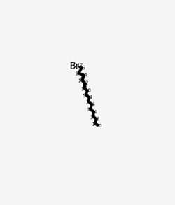 CCCCCCCCCCCC=CC=CCCBr